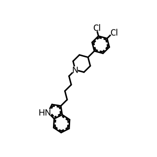 Clc1ccc(C2CCN(CCCCc3c[nH]c4ccccc34)CC2)cc1Cl